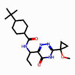 CCC(NC(=O)C1CCC(C(C)(C)C)CC1)c1nnc(C2(OC)CC2)[nH]c1=O